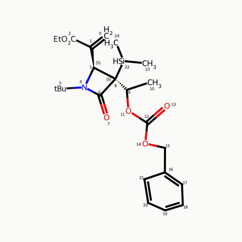 C=C(C(=O)OCC)[C@@H]1N(C(C)(C)C)C(=O)[C@]1(C(C)OC(=O)OCc1ccccc1)[SiH](C)C